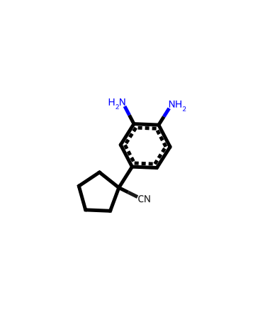 N#CC1(c2ccc(N)c(N)c2)CCCC1